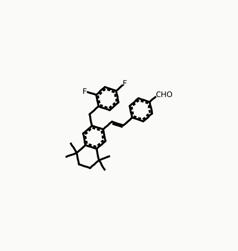 CC1(C)CCC(C)(C)c2cc(Cc3ccc(F)cc3F)c(/C=C/c3ccc(C=O)cc3)cc21